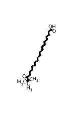 CC(C)(C)C(=O)CCCCCCCCCCCCCCCCCCC(=O)O